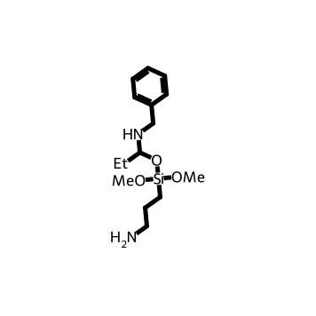 CCC(NCc1ccccc1)O[Si](CCCN)(OC)OC